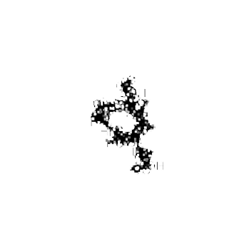 CCOC(=O)C(C(CC(C)(C)C1C(=O)OC(=O)C1C)C(=O)O)C(C)(C)CC(C(=O)O)C(C(=O)NCC(C)C)C(C)(C)CC1C(=O)N(CC(C)C)C(=O)C1C(C)(C)CC1C(=O)N(CCCNS(=O)(=O)c2cc(C(=O)c3ccc(C)cc3)c(O)cc2OC)C(=O)C1C(C)(C)CC(C(=O)O)C(C(=O)NCCCNS(=O)(=O)c1cc(C(=O)c2ccc(C)cc2)c(O)cc1OC)C(C)(C)CC